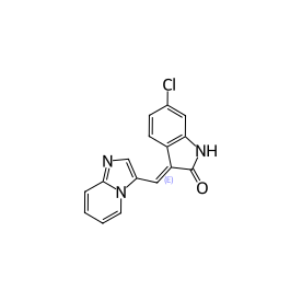 O=C1Nc2cc(Cl)ccc2/C1=C\c1cnc2ccccn12